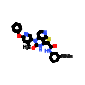 CC(=O)NC1CCCC(NC(=O)c2sc3nccc4c3c2NC(=O)N4c2cnc(Oc3ccccc3)cc2C)C1